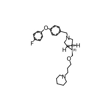 Fc1ccc(Oc2ccc(CN3C[C@@H]4[C@@H](COCCCN5CCCCC5)[C@@H]4C3)cc2)cc1